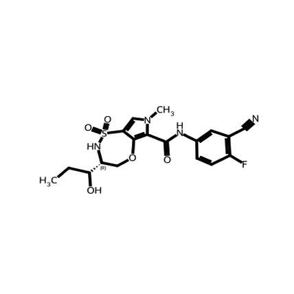 CCC(O)[C@H]1COc2c(cn(C)c2C(=O)Nc2ccc(F)c(C#N)c2)S(=O)(=O)N1